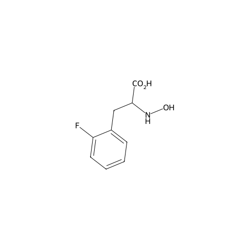 O=C(O)C(Cc1ccccc1F)NO